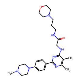 Cc1nc(-c2ccc(N3CCN(C)CC3)cc2)nc(NCC(=O)NCCCN2CCOCC2)c1C